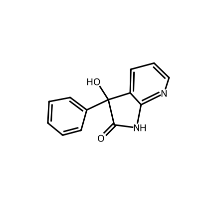 O=C1Nc2ncccc2C1(O)c1ccccc1